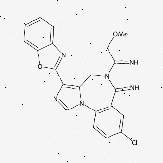 COCC(=N)N1Cc2c(-c3nc4ccccc4o3)ncn2-c2ccc(Cl)cc2C1=N